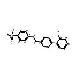 CS(=O)(=O)c1ccc(CCc2ccc(-c3ccccc3F)cc2)cc1